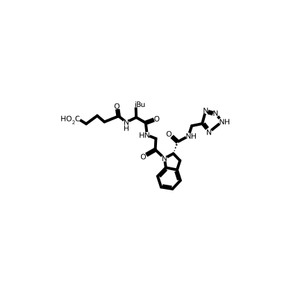 CCC(C)C(NC(=O)CCCC(=O)O)C(=O)NCC(=O)N1c2ccccc2C[C@H]1C(=O)NCc1nn[nH]n1